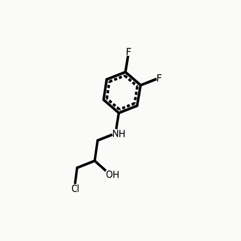 OC(CCl)CNc1ccc(F)c(F)c1